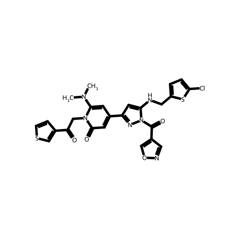 CN(C)c1cc(-c2cc(NCc3ccc(Cl)s3)n(C(=O)c3cnoc3)n2)cc(=O)n1CC(=O)c1ccsc1